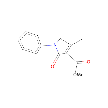 COC(=O)C1=C(C)CN(c2ccccc2)C1=O